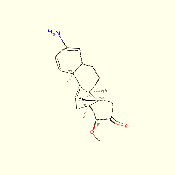 CO[C@@H]1C(=O)C[C@H]2[C@@H]3CCC4C=C(N)C=C[C@]4(C)C3=CC[C@]12C